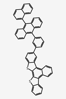 c1cc(-c2ccc3sc4c5sc6ccccc6c5c5ccccc5c4c3c2)cc(-c2c3ccccc3c(-c3cccc4ccccc34)c3ccccc23)c1